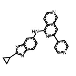 c1cc(-c2cc3cnccc3c(Nc3ccc4nc(C5CC5)sc4c3)n2)ccn1